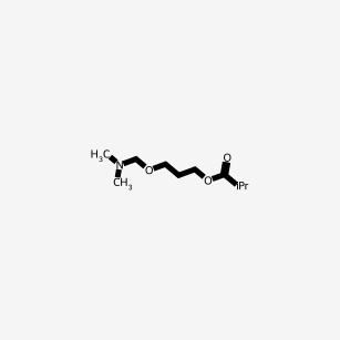 CC(C)C(=O)OCCCOCN(C)C